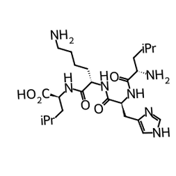 CC(C)C[C@H](NC(=O)[C@H](CCCCN)NC(=O)[C@H](Cc1c[nH]cn1)NC(=O)[C@@H](N)CC(C)C)C(=O)O